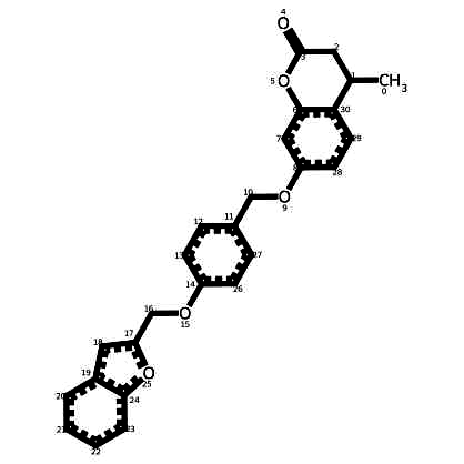 CC1CC(=O)Oc2cc(OCc3ccc(OCc4cc5ccccc5o4)cc3)ccc21